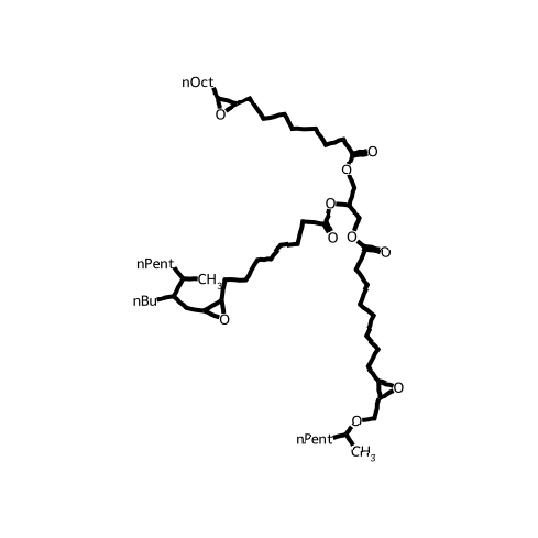 CCCCCCCCC1OC1CCCCCCCC(=O)OCC(COC(=O)CCCCCCCC1OC1COC(C)CCCCC)OC(=O)CCCCCCCC1OC1CC(CCCC)C(C)CCCCC